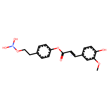 COc1cc(/C=C/C(=O)Oc2ccc(CCON(O)O)cc2)ccc1O